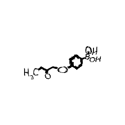 CCC(=O)COc1ccc(B(O)O)cc1